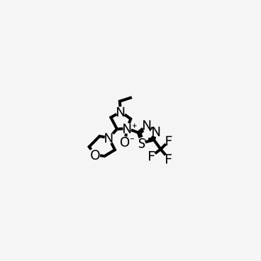 CCN1CC(N2CCOCC2)[N+]([O-])(c2nnc(C(F)(F)F)s2)C1